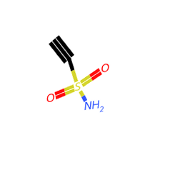 C#CS(N)(=O)=O